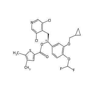 Cc1cc(C(=O)O[C@@H](Cc2c(Cl)cncc2Cl)c2ccc(OC(F)F)c(OCC3CC3)c2)sc1C